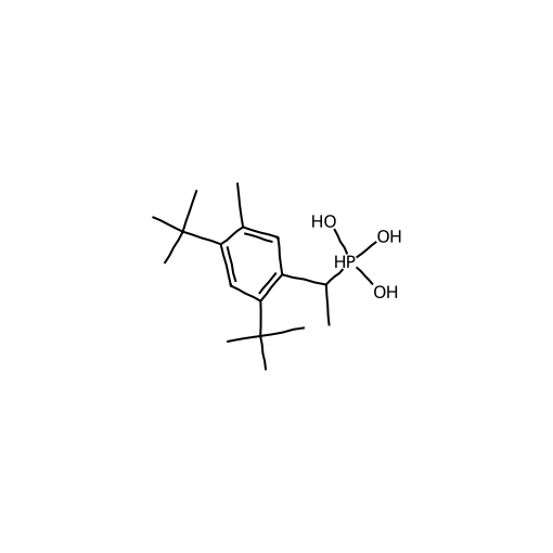 Cc1cc(C(C)[PH](O)(O)O)c(C(C)(C)C)cc1C(C)(C)C